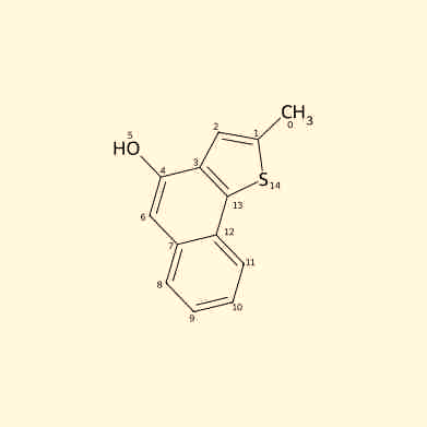 Cc1cc2c(O)cc3ccccc3c2s1